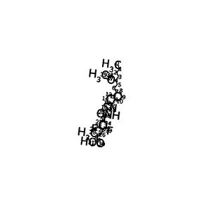 CCCCC(CCc1cccc2c1CCc1sc(NC(=O)c3cc(F)c(C=C(C)C(=O)O)c(F)c3)nc1-2)OCC